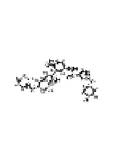 Cc1ccc(Cn2cc(C(=O)Nc3c[nH]c(=O)c(-c4cc5cc(CN6CCOCC6)ccc5[nH]4)c3)cn2)cc1